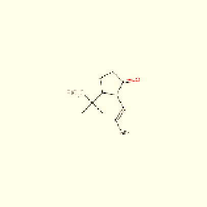 CCCC=CC1C(=O)CCC1C(C)(C)C(=O)OCC